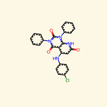 O=c1cc(Nc2ccc(Cl)cc2)c2c(=O)n(-c3ccccc3)c(=O)n(-c3ccccc3)c2[nH]1